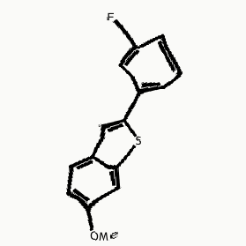 COc1ccc2[c]c(-c3cccc(F)c3)sc2c1